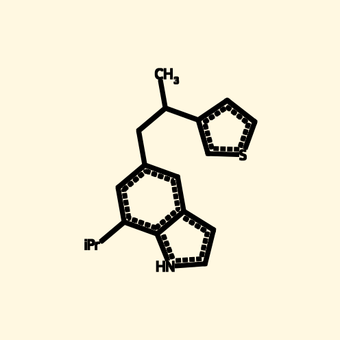 CC(C)c1cc(CC(C)c2ccsc2)cc2cc[nH]c12